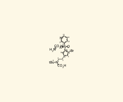 CC(C)(C)N(CCc1cc(Br)n(S(=O)(=O)c2cccnc2)c1)C(=O)O.NC(=O)O